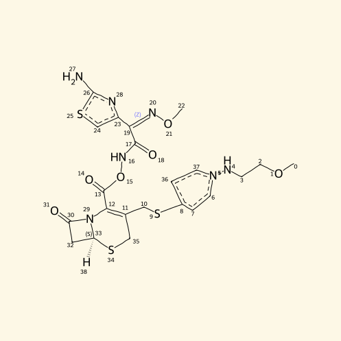 COCCN[n+]1ccc(SCC2=C(C(=O)ONC(=O)/C(=N\OC)c3csc(N)n3)N3C(=O)C[C@@H]3SC2)cc1